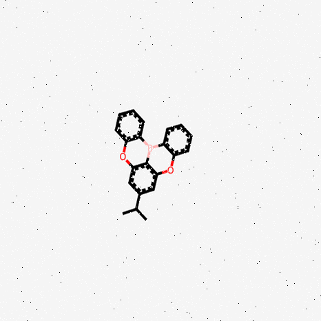 CC(C)c1cc2c3c(c1)Oc1ccccc1B3c1ccccc1O2